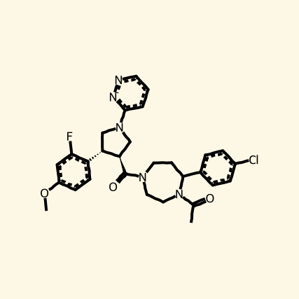 COc1ccc([C@@H]2CN(c3cccnn3)C[C@H]2C(=O)N2CCC(c3ccc(Cl)cc3)N(C(C)=O)CC2)c(F)c1